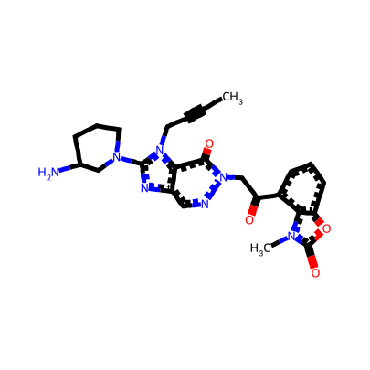 CC#CCn1c(N2CCCC(N)C2)nc2cnn(CC(=O)c3cccc4oc(=O)n(C)c34)c(=O)c21